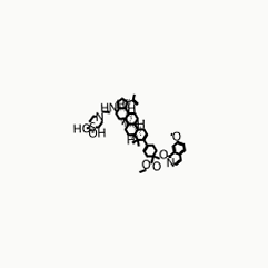 C=C(C)[C@@H]1CC[C@]2(NCCN3CCS(O)(O)CC3)CC[C@]3(C)[C@H](CC[C@@H]4[C@@]5(C)CC=C(C6=CCC(COc7nccc8ccc(OC)cc78)(C(=O)OCC)CC6)C(C)(C)[C@@H]5CC[C@]43C)[C@@H]12